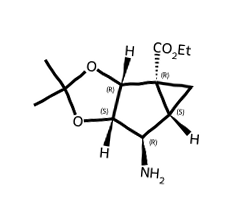 CCOC(=O)[C@]12C[C@@H]1[C@@H](N)[C@@H]1OC(C)(C)O[C@@H]12